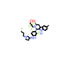 Cc1ccc2[nH]c3c(c2c1)C[C@H](C)N(CC(F)(F)CO)[C@H]3c1c(F)cc(N[C@H]2CCN(CCCF)C2)cc1F